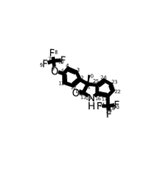 C[C@]1(c2ccc(OC(F)(F)F)cc2)C(=O)Nc2c(C(F)(F)F)cccc21